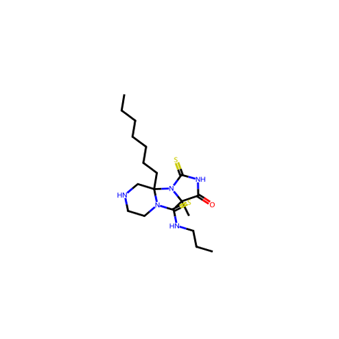 CCCCCCCC1(N2C(=S)NC(=O)C2(C)C)CNCCN1C(=S)NCCC